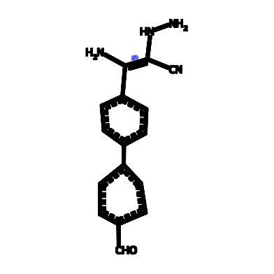 N#C/C(NN)=C(/N)c1ccc(-c2ccc(C=O)cc2)cc1